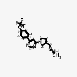 CNOCC1CCN(c2cc(-c3ccc(OC(F)(F)F)cc3)ncn2)C1